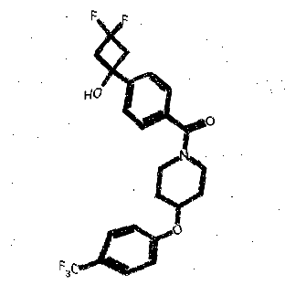 O=C(c1ccc(C2(O)CC(F)(F)C2)cc1)N1CCC(Oc2ccc(C(F)(F)F)cc2)CC1